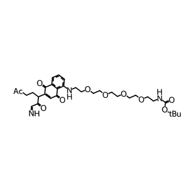 CC(=O)CCC(C(=O)C=N)C1=CC(=O)c2c(NCCOCCOCCOCCOCCNC(=O)OC(C)(C)C)cccc2C1=O